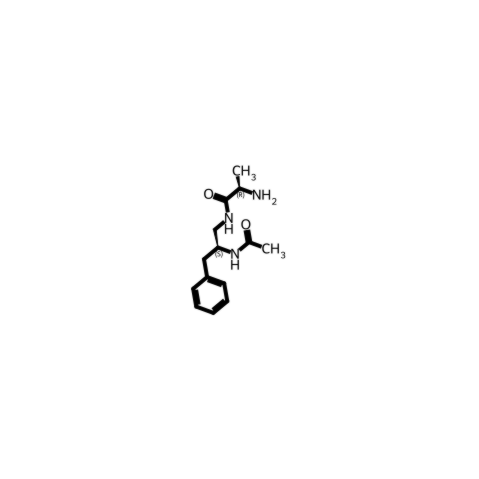 CC(=O)N[C@H](CNC(=O)[C@@H](C)N)Cc1ccccc1